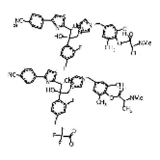 CN[C@@H](C)C(=O)Oc1c(C)cc(C[n+]2cnn(C[C@](O)(c3ccc(F)cc3F)[C@@H](C)c3nc(-c4ccc(C#N)cc4)cs3)c2)cc1C.CN[C@@H](C)C(=O)Oc1c(C)cc(C[n+]2cnn(C[C@](O)(c3ccc(F)cc3F)[C@@H](C)c3nc(-c4ccc(C#N)cc4)cs3)c2)cc1C.O=C([O-])C(F)(F)F.[Br-]